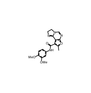 COc1ccc(NC(=O)c2c(C)oc3c2C2=NCCN2C=N3)cc1OC